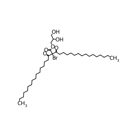 CCCCCCCCCCCCCCCC(=O)C(Br)(C(=O)CCCCCCCCCCCCCCC)C(=O)OCC(O)CO